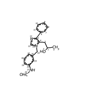 CC(O)Cc1c(-c2ccccc2)ncn1Cc1cccc(NC=O)c1